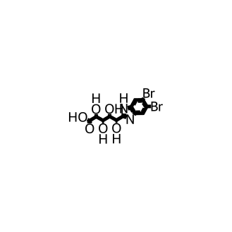 O=C(O)C(O)[C@H](O)C(O)[C@H](O)c1nc2cc(Br)c(Br)cc2[nH]1